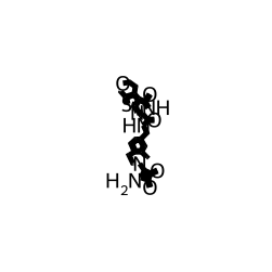 Nc1c(N2CCc3ccc(CNC(=O)c4nc5sc6c(c5c(=O)[nH]4)CCOC6)cc3C2)c(=O)c1=O